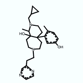 Cc1ccc(O)cc1C12CCN(CCc3cnccn3)CCC1(O)C(C)N(CC1CC1)CC2